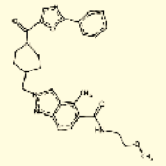 COCCNC(=O)c1ccc2nn(CC3CCN(C(=O)c4cnc(-c5ccccc5)o4)CC3)cc2c1C